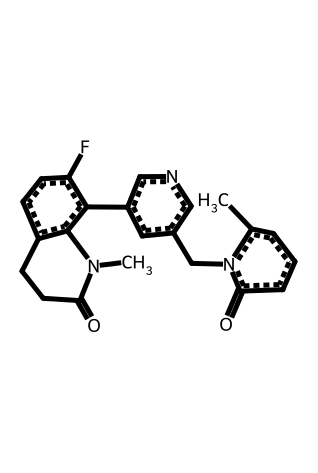 Cc1cccc(=O)n1Cc1cncc(-c2c(F)ccc3c2N(C)C(=O)CC3)c1